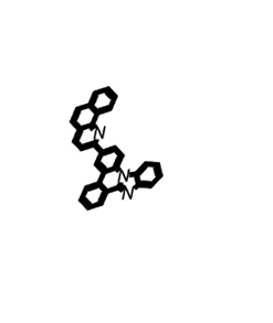 c1ccc2c(c1)ccc1ccc(-c3ccc4c(c3)c3ccccc3c3nc5ccccc5n43)nc12